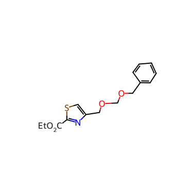 CCOC(=O)c1nc(COCOCc2ccccc2)cs1